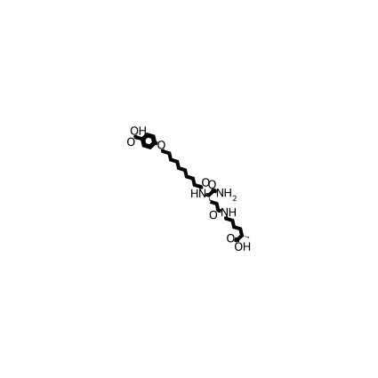 C[C@@H](CCCCNC(=O)CC[C@H](NC(=O)CCCCCCCCCOc1ccc(C(=O)O)cc1)C(N)=O)C(=O)O